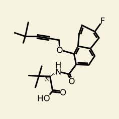 CC(C)(C)C#CCOc1c(C(=O)N[C@H](C(=O)O)C(C)(C)C)ccc2cc(F)ccc12